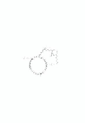 CCCCCCCCCCCCCCCC1CCCCC(CCCCC(CCCCCCCCCC)CCCCCC2CCCCCCCCCCCCN(I)CCCCCCCCCCCC(CCCCC)CCC2)CN(I)C1